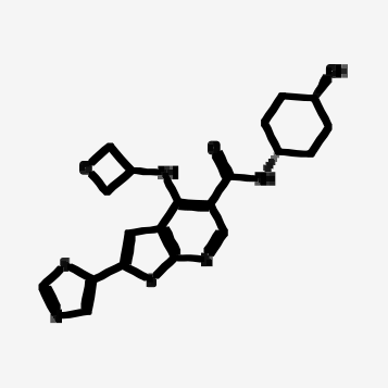 O=C(N[C@H]1CC[C@H](O)CC1)c1cnc2sc(-c3cncs3)cc2c1NC1COC1